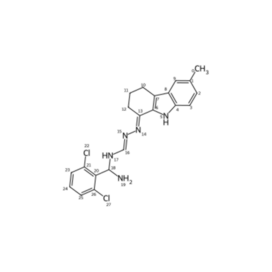 Cc1ccc2[nH]c3c(c2c1)CCCC3=NN=CNC(N)c1c(Cl)cccc1Cl